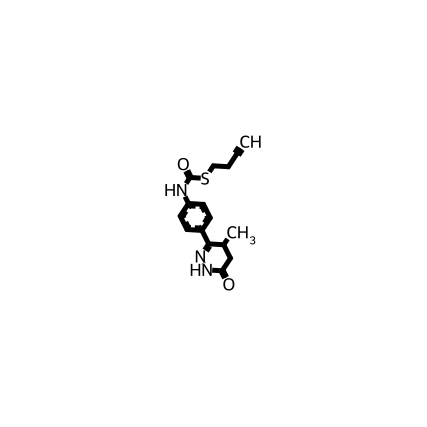 C#CCCSC(=O)Nc1ccc(C2=NNC(=O)CC2C)cc1